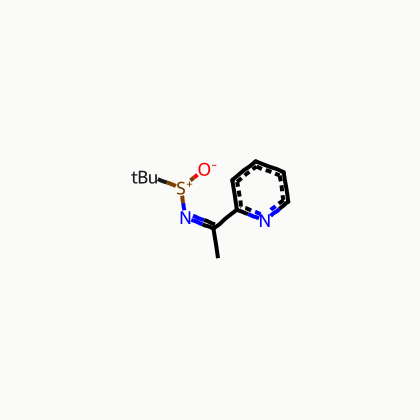 C/C(=N/[S+]([O-])C(C)(C)C)c1ccccn1